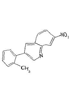 Cc1ccccc1-c1cnc2cc([N+](=O)[O-])ccc2c1